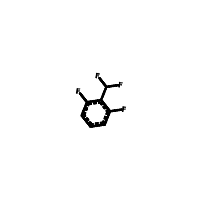 Fc1cccc(F)c1C(F)F